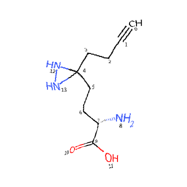 C#CCCC1(CC[C@H](N)C(=O)O)NN1